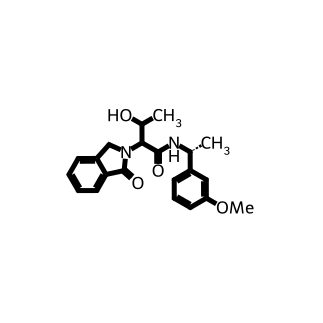 COc1cccc([C@@H](C)NC(=O)C(C(C)O)N2Cc3ccccc3C2=O)c1